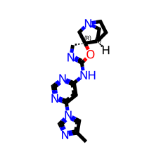 Cc1cn(-c2cc(NC3=NC[C@@]4(CN5CC[C@@H]4C5)O3)ncn2)cn1